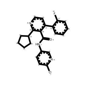 O=C(Nc1ccc(Cl)nc1)c1c(-c2ccccc2F)ccnc1C1CCCC1